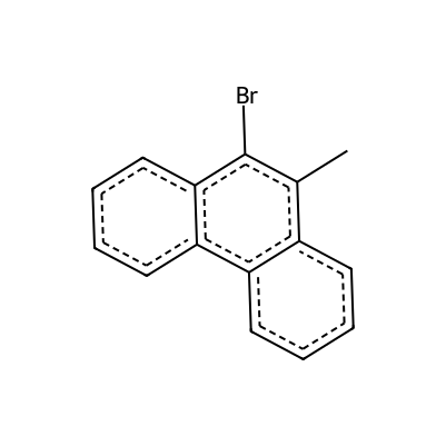 Cc1c(Br)c2ccccc2c2ccccc12